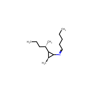 CCCC/C=N\C1C([C@@H](C)CCC)[C@@H]1C